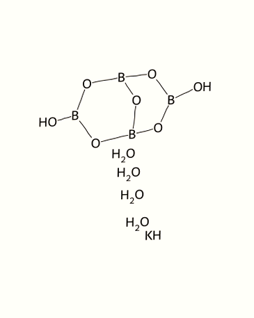 O.O.O.O.OB1OB2OB(O)OB(O1)O2.[KH]